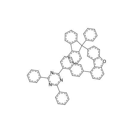 c1ccc(-c2nc(-c3ccccc3)nc(-c3cccc4cc(-c5cccc6oc7ccc(C8(c9ccccc9)c9ccccc9-c9ccccc98)cc7c56)ccc34)n2)cc1